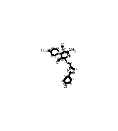 [C-]#[N+]c1c(N)nc(SCc2csc(-c3ccc(Cl)cc3)n2)c(C#N)c1N1CCC(C)CC1